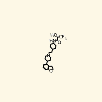 O=C(NC1CCC(CCN2CCC(c3cccc4c3CCO4)CC2)CC1)C(O)C(F)(F)F